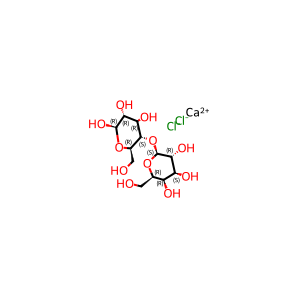 OC[C@H]1O[C@@H](O[C@H]2[C@H](O)[C@@H](O)[C@H](O)O[C@@H]2CO)[C@H](O)[C@@H](O)[C@H]1O.[Ca+2].[Cl-].[Cl-]